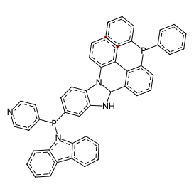 c1ccc(P(c2ccccc2)c2cccc3c2-c2ccccc2N2c4ccc(P(c5ccncc5)n5c6ccccc6c6ccccc65)cc4NC32)cc1